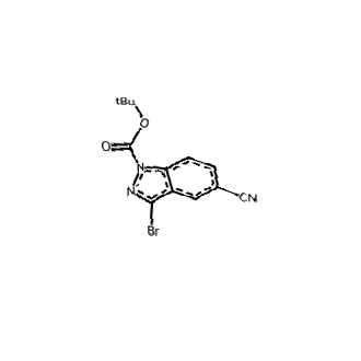 CC(C)(C)OC(=O)n1nc(Br)c2cc(C#N)ccc21